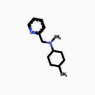 CC1CCC(N(C)Cc2ccccn2)CC1